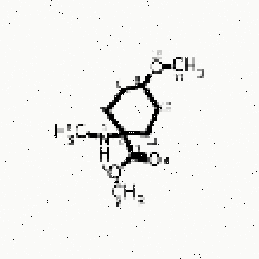 CNC1(C(=O)OC)CCC(OC)CC1